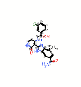 Cc1cc(C(N)=O)cc2[nH]c(-c3c(NCC(O)c4cccc(Cl)c4)cc[nH]c3=O)nc12